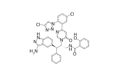 Nc1n[nH]c2ccc([C@H](c3ccccc3)[C@@H](CNC(=O)c3ccccc3O)n3cnc(-c4cc(Cl)ccc4-n4cc(Cl)nn4)cc3=O)cc12